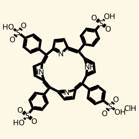 Cl.O=S(=O)(O)c1ccc(-c2c3nc(c(-c4ccc(S(=O)(=O)O)cc4)c4ccc([nH]4)c(-c4ccc(S(=O)(=O)O)cc4)c4nc(c(-c5ccc(S(=O)(=O)O)cc5)c5ccc2[nH]5)C=C4)C=C3)cc1